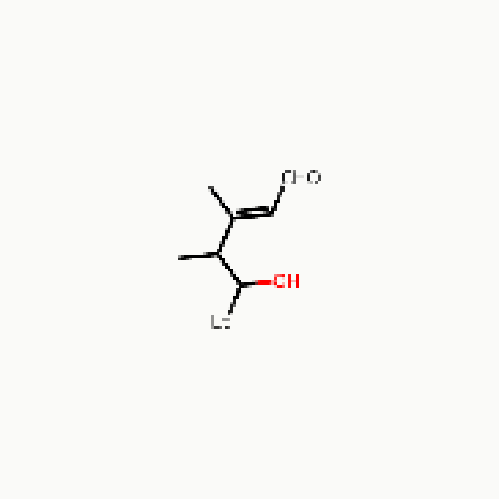 CCC(O)C(C)/C(C)=C/C=O